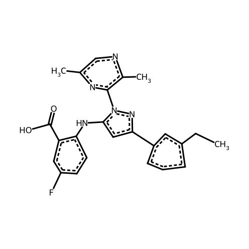 CCc1cccc(-c2cc(Nc3ccc(F)cc3C(=O)O)n(-c3nc(C)cnc3C)n2)c1